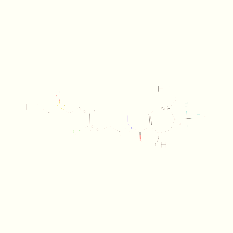 CCC1=CC=C(C(=O)NCC/C=C(Cl)\C=C/C[S+]([O-])CC)C(C)CC1C(F)(F)F